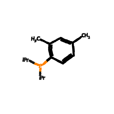 Cc1ccc(P(C(C)C)C(C)C)c(C)c1